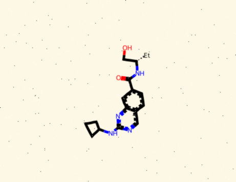 CC[C@@H](CO)NC(=O)c1ccc2cnc(NC3CCC3)nc2c1